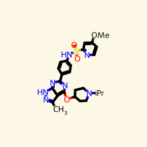 COc1ccnc(S(=O)(=O)Nc2ccc(-c3nc(OC4CCN(C(C)C)CC4)c4c(C)n[nH]c4n3)cc2)c1